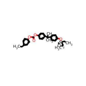 CCc1ccc(OC(=O)Oc2ccc(C(C)(C)c3ccc(O[Si](CC)(CC)CC)cc3)cc2)cc1